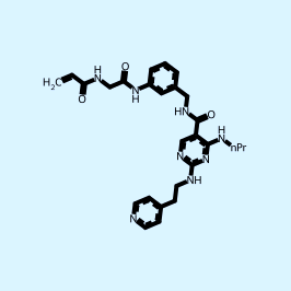 C=CC(=O)NCC(=O)Nc1cccc(CNC(=O)c2cnc(NCCc3ccncc3)nc2NCCC)c1